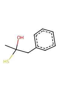 CC(O)(S)Cc1ccccc1